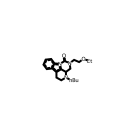 CCCCN1CCc2c3n(c4ccccc24)C(=O)N(CCOCC)CC31